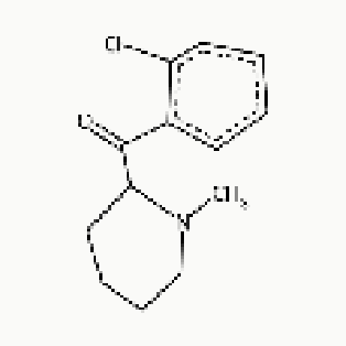 CN1CCCCC1C(=O)c1ccccc1Cl